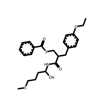 CCOc1ccc(CC(CSC(=O)c2ccccc2)C(=O)NC(O)CCCSC)cc1